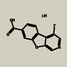 O=C(O)c1ccc2c(c1)oc1cncc(F)c12.[LiH]